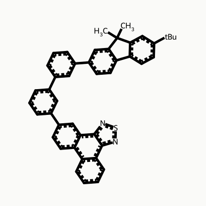 CC(C)(C)c1ccc2c(c1)C(C)(C)c1cc(-c3cccc(-c4cccc(-c5ccc6c7ccccc7c7nsnc7c6c5)c4)c3)ccc1-2